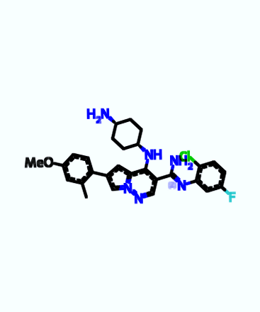 COc1ccc(-c2cc3c(N[C@H]4CC[C@@H](N)CC4)c(/C(N)=N/c4cc(F)ccc4Cl)cnn3c2)c(C)c1